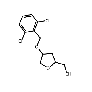 CCC1CC(OCc2c(Cl)cccc2Cl)CO1